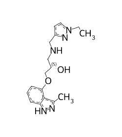 CCn1ccc(CNC[C@H](O)COc2cccc3[nH]nc(C)c23)n1